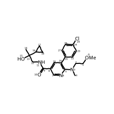 COCCN(C)c1ncc(C(=O)NCC(C)(O)C2CC2)cc1-c1ccc(Cl)cc1